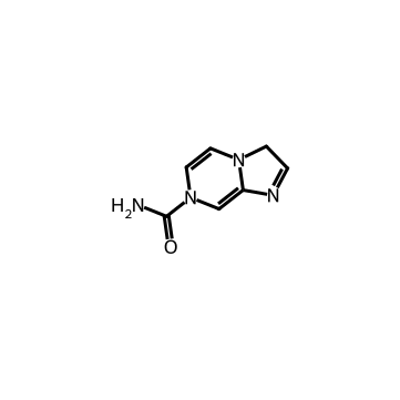 NC(=O)N1C=CN2CC=NC2=C1